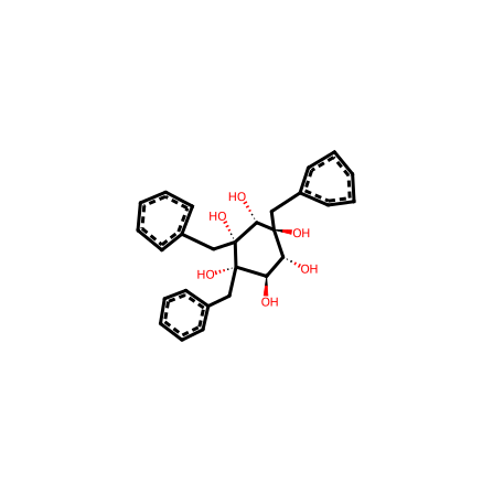 O[C@@H]1[C@@H](O)[C@@](O)(Cc2ccccc2)[C@@](O)(Cc2ccccc2)[C@H](O)[C@]1(O)Cc1ccccc1